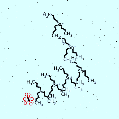 CCC[CH2][Sn+]([CH2]CCC)[CH2]CCC.CCC[CH2][Sn+]([CH2]CCC)[CH2]CCC.CCC[CH2][Sn+]([CH2]CCC)[CH2]CCC.CCC[CH2][Sn+]([CH2]CCC)[CH2]CCC.CCC[CH2][Sn+]([CH2]CCC)[CH2]CCC.CCC[CH2][Sn+]([CH2]CCC)[CH2]CCC.[O-]C([O-])([O-])C([O-])([O-])[O-]